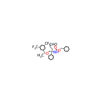 C[C@@H](OC[C@@](CCC=O)(NC(=O)OCc1ccccc1)c1ccccc1)c1cc(C(F)(F)F)cc(C(F)(F)F)c1